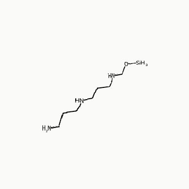 NCCCNCCCNCO[SiH3]